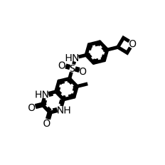 Cc1cc2[nH]c(=O)c(=O)[nH]c2cc1S(=O)(=O)Nc1ccc(C2COC2)cc1